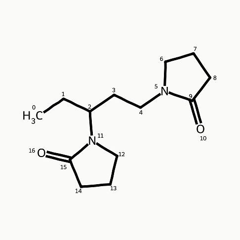 CCC(CCN1CCCC1=O)N1CCCC1=O